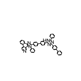 c1ccc(-c2ccc(C3=NC(c4ccccc4)NC(c4ccc(-c5ccc(-c6nc7c8ccccc8c8ccncc8c7n6-c6ccccc6)cc5)cc4)=N3)cc2)cc1